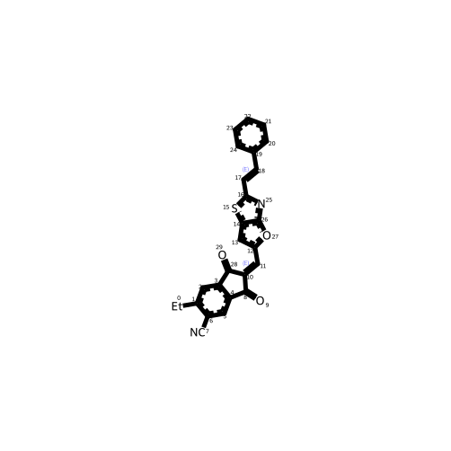 CCc1cc2c(cc1C#N)C(=O)/C(=C/c1cc3sc(/C=C/c4ccccc4)nc3o1)C2=O